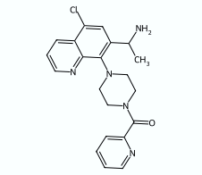 CC(N)c1cc(Cl)c2cccnc2c1N1CCN(C(=O)c2ccccn2)CC1